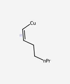 CCCCC/C=[CH]\[Cu]